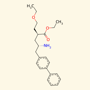 CCOCC[C@H](C[C@H](N)Cc1ccc(-c2ccccc2)cc1)C(=O)OCC